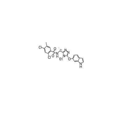 CCn1c(Oc2ccc3cc[nH]c3c2)nnc1[C@@H](C)NS(=O)(=O)c1cc(C)c(Cl)cc1Cl